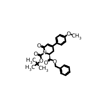 COc1ccc(C2=CC(=O)N(C(=O)OC(C)(C)C)[C@H](C(=O)OCc3ccccc3)C2)cc1